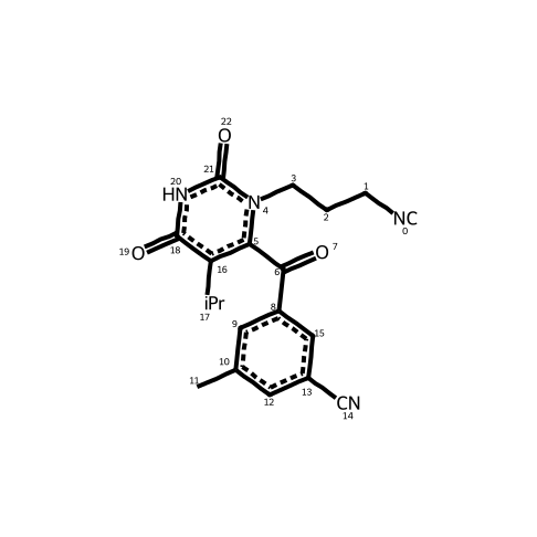 [C-]#[N+]CCCn1c(C(=O)c2cc(C)cc(C#N)c2)c(C(C)C)c(=O)[nH]c1=O